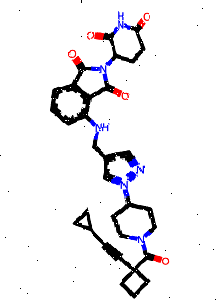 O=C1CCC(N2C(=O)c3cccc(NCc4cnn(C5CCN(C(=O)C6(C#CC7CC7)CCC6)CC5)c4)c3C2=O)C(=O)N1